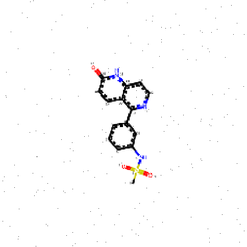 CS(=O)(=O)Nc1cccc(-c2nccc3[nH]c(=O)ccc23)c1